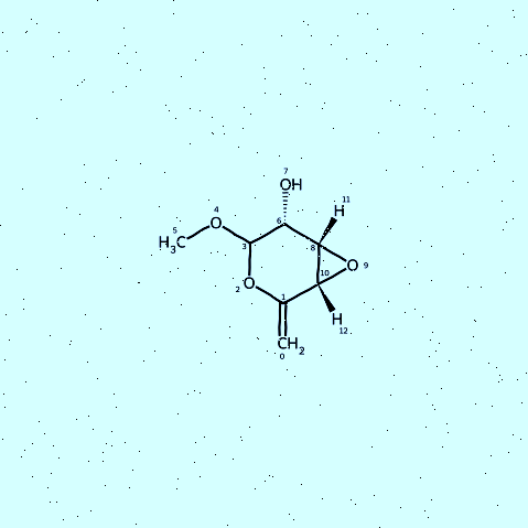 C=C1OC(OC)[C@H](O)[C@@H]2O[C@H]12